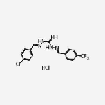 Cl.N=C(NN=Cc1ccc(Cl)cc1)NN=Cc1ccc(C(F)(F)F)cc1